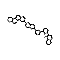 C1=Cc2c(ccc3c2ccc2ccc(-c4ccc5cc(-c6cccc(-c7cccc8c7sc7c9ccccc9ccc87)c6)ccc5c4)cc23)CC1